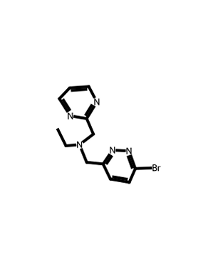 CCN(Cc1ccc(Br)nn1)Cc1ncccn1